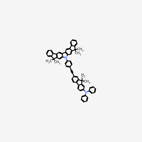 CC1(C)c2cc(C#Cc3ccc(-n4c5cc6c(cc5c5cc7c(cc54)C(C)(C)c4ccccc4-7)-c4ccccc4C6(C)C)cc3)ccc2-c2ccc(N(c3ccccc3)c3ccccc3)cc21